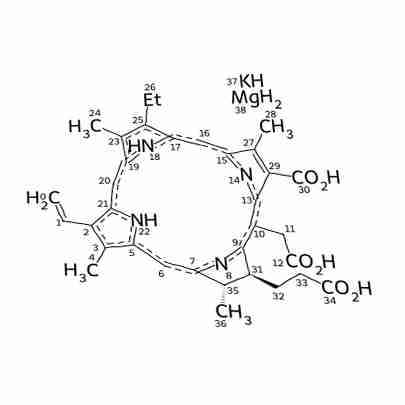 C=Cc1c(C)c2cc3nc(c(CC(=O)O)c4nc(cc5[nH]c(cc1[nH]2)c(C)c5CC)C(C)=C4C(=O)O)[C@@H](CCC(=O)O)[C@@H]3C.[KH].[MgH2]